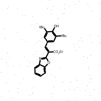 CCOC(=O)C(=Cc1cc(C(C)(C)C)c(O)c(C(C)(C)C)c1)c1nc2ccccc2o1